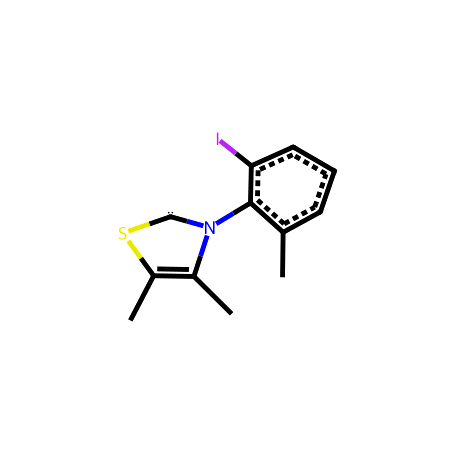 CC1=C(C)N(c2c(C)cccc2I)[C]S1